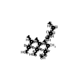 Cc1cc(COc2c(Br)cc(C(=O)NCC(=O)O)cc2Br)cc(NCC2CC2)c1.Cc1cc(COc2c(Br)cc(CC(F)C(=O)O)cc2Br)cc(NCC2CC2)c1.Cc1cc(COc2c(Br)cc(CCC(=O)O)cc2Br)cc(NCC2CC2)c1.O=C(O)CC(=O)Nc1cc(Cl)c(OCc2cc(Cl)cc(NCC3CC3)c2)c(Cl)c1